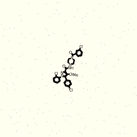 COc1c(C(=O)NN2CCN(C(=O)c3cccc(Cl)c3)CC2)nn(-c2ccccc2Cl)c1-c1ccc(Cl)cc1